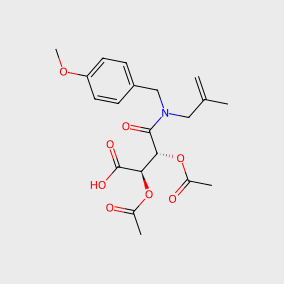 C=C(C)CN(Cc1ccc(OC)cc1)C(=O)[C@H](OC(C)=O)[C@@H](OC(C)=O)C(=O)O